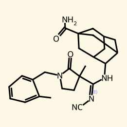 Cc1ccccc1CN1CCC(C)(/C(=N\C#N)NC2C3CC4CC2CC(C(N)=O)(C4)C3)C1=O